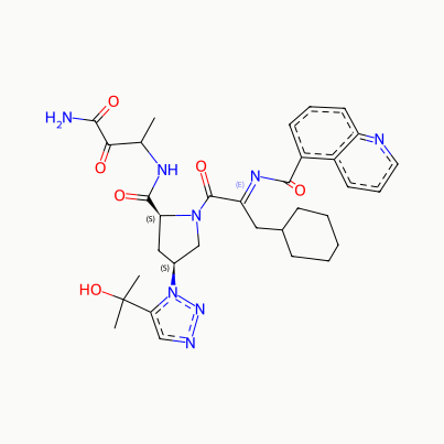 CC(NC(=O)[C@@H]1C[C@H](n2nncc2C(C)(C)O)CN1C(=O)/C(CC1CCCCC1)=N/C(=O)c1cccc2ncccc12)C(=O)C(N)=O